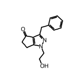 O=C1CCc2c1c(Cc1ccccc1)nn2CCO